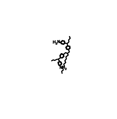 CCCCCCCCCCCC(Cc1ccc(C(CCCC)c2ccc(N)cc2)cc1)Cc1ccc(C(CCCC)c2ccc(N)cc2)cc1